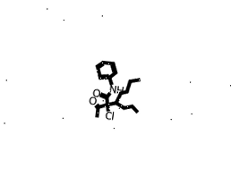 CCCCC(CCC)C(Cl)(C(C)=O)C(=O)Nc1ccccc1